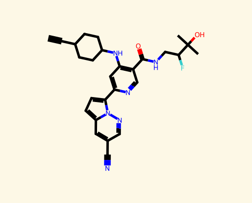 C#CC1CCC(Nc2cc(-c3ccc4cc(C#N)cnn34)ncc2C(=O)NCC(F)C(C)(C)O)CC1